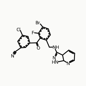 N#Cc1cc(Cl)cc(C(=O)c2c(CNC3=NNC4N=CC=CC34)ccc(Br)c2F)c1